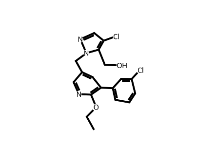 CCOc1ncc(Cn2ncc(Cl)c2CO)cc1-c1cccc(Cl)c1